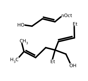 CCC=CC(CC)(CO)CC=C(C)C.CCCCCCCCC=CCO